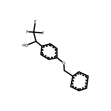 OC(c1ccc(OCc2ccccc2)cc1)C(F)(F)F